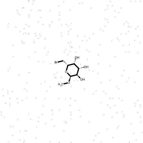 CO[C@H]1O[C@H](CBr)[C@H](O)[C@H](O)[C@H]1O